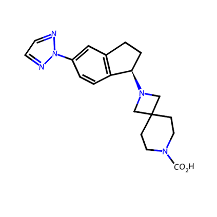 O=C(O)N1CCC2(CC1)CN([C@@H]1CCc3cc(-n4nccn4)ccc31)C2